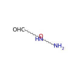 NCCCCCCCCCCNC(=O)CCCCCCCCCCCCC=O